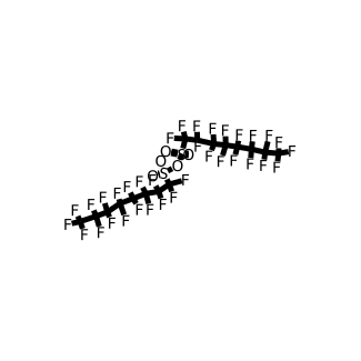 O=S(=O)(OS(=O)(=O)C(F)(F)C(F)(F)C(F)(F)C(F)(F)C(F)(F)C(F)(F)C(F)(F)C(F)(F)F)C(F)(F)C(F)(F)C(F)(F)C(F)(F)C(F)(F)C(F)(F)C(F)(F)C(F)(F)F